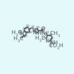 Cc1cc(NC(=O)O)nc(C)c1CNC(=O)c1cnn(Cc2ccc3c(c2)cc(C)n3C)c1